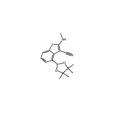 CNc1sc2cccc(B3OC(C)(C)C(C)(C)O3)c2c1C#N